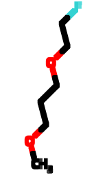 COCCCOCCF